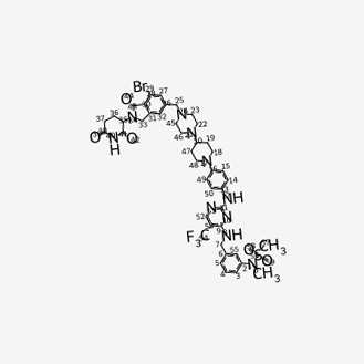 CN(c1cccc(CNc2nc(Nc3ccc(N4CCC(N5CCN(Cc6cc(Br)c7c(c6)CN(C6CCC(=O)NC6=O)C7=O)CC5)CC4)cc3)ncc2C(F)(F)F)c1)S(C)(=O)=O